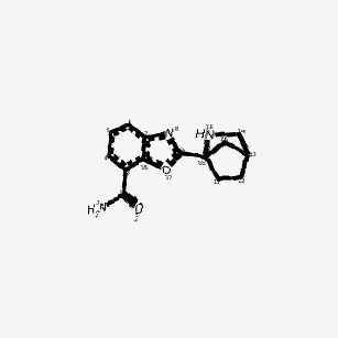 NC(=O)c1cccc2nc(C34CCC(CN3)C4)oc12